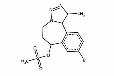 CC1N=NN2CCC(OS(C)(=O)=O)c3cc(Br)ccc3C12